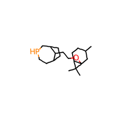 CC1CCC2C(C)(C)C2(OCCC2C3CCPCC2CC3)C1